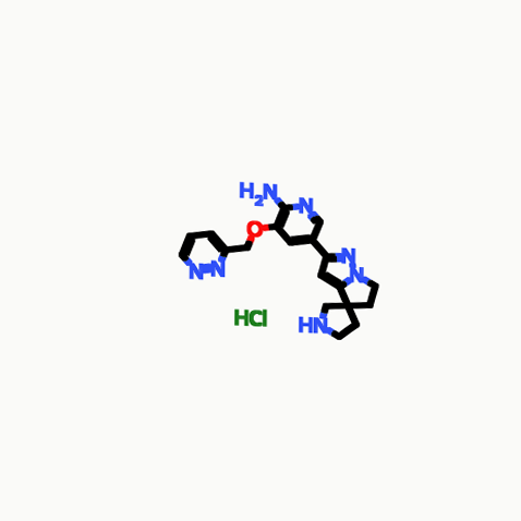 Cl.Nc1ncc(-c2cc3n(n2)CCC32CCNC2)cc1OCc1cccnn1